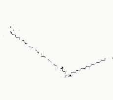 O=C(O)CCCCCCCCCCCCCCC(=O)N(CCC(=O)NCCOCCOCC(=O)NCCOCCOCC(=O)NCCCC[C@H](NP)C(=O)O)CC(=O)O